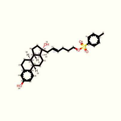 Cc1ccc(S(=O)(=O)OCCC/C=C/C[C@]2(O)CC[C@H]3[C@@H]4CCc5cc(O)ccc5[C@H]4CC[C@@]32C)cc1